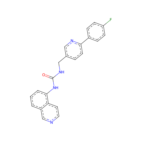 O=C(NCc1ccc(-c2ccc(F)cc2)nc1)Nc1cccc2cnccc12